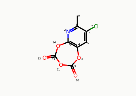 Cc1nc2c(cc1Cl)OC(=O)OC(=O)O2